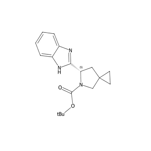 CC(C)(C)OC(=O)N1CC2(CC2)C[C@H]1c1nc2ccccc2[nH]1